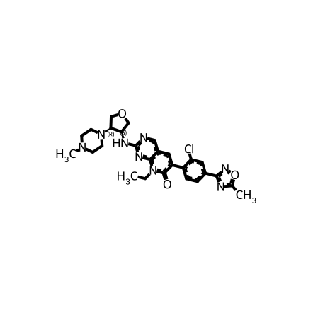 CCn1c(=O)c(-c2ccc(-c3noc(C)n3)cc2Cl)cc2cnc(N[C@@H]3COC[C@@H]3N3CCN(C)CC3)nc21